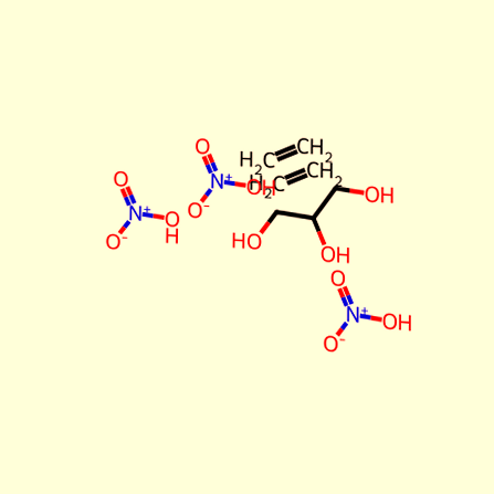 C=C.C=C.O=[N+]([O-])O.O=[N+]([O-])O.O=[N+]([O-])O.OCC(O)CO